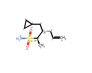 C=CC[C@@H](CC1CC1)[C@@H](C)S(N)(=O)=O